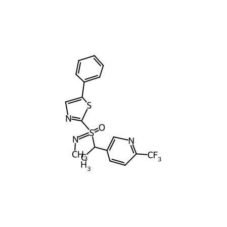 CN=S(=O)(c1ncc(-c2ccccc2)s1)C(C)c1ccc(C(F)(F)F)nc1